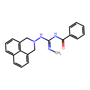 CN=C(NC(=O)c1ccccc1)NN1Cc2cccc3cccc(c23)C1